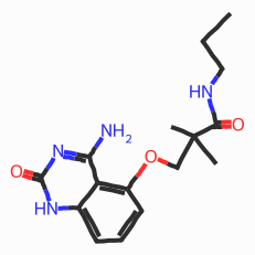 CCCNC(=O)C(C)(C)COc1cccc2[nH]c(=O)nc(N)c12